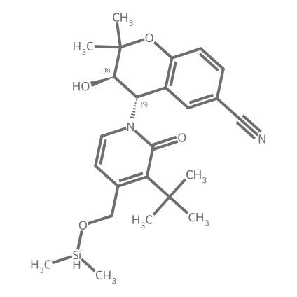 C[SiH](C)OCc1ccn([C@H]2c3cc(C#N)ccc3OC(C)(C)[C@@H]2O)c(=O)c1C(C)(C)C